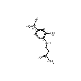 NC(=O)CCNc1ccc([N+](=O)[O-])cc1O